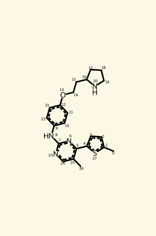 Cc1ccc(-c2nc(Nc3ccc(OCCC4CCCN4)cc3)ncc2C)s1